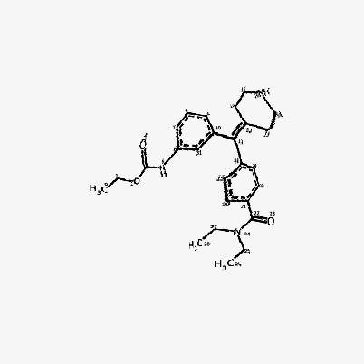 CCOC(=O)Nc1cccc(C(=C2CCNCC2)c2ccc(C(=O)N(CC)CC)cc2)c1